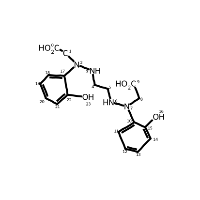 O=C(O)CN(NCCNN(CC(=O)O)c1ccccc1O)c1ccccc1O